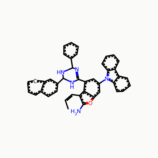 C/C=C\c1c(N)oc2cc(-n3c4ccccc4c4ccccc43)cc(C3=NC(c4ccccc4)NC(c4ccc5ccccc5c4)N3)c12